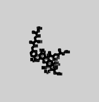 CN(C(=O)OC(C)(C)C)[C@@H]1[C@@H](O)[C@@H](O[C@H]2[C@H](NC(=O)[C@@H](O)CNC(=O)OC(C)(C)C)C[C@H](N)C([C@H]3OC(CNC(=O)C(O)CNC(=O)OC(C)(C)C)=CC[C@H]3N)[C@@H]2O)OC[C@]1(C)O